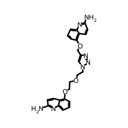 Nc1ccc2c(OCCOCCn3cc(COc4cccc5nc(N)ccc45)nn3)cccc2n1